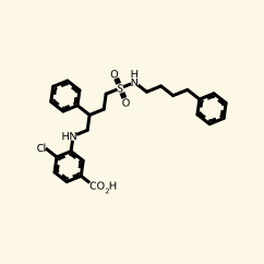 O=C(O)c1ccc(Cl)c(NCC(CCS(=O)(=O)NCCCCc2ccccc2)c2ccccc2)c1